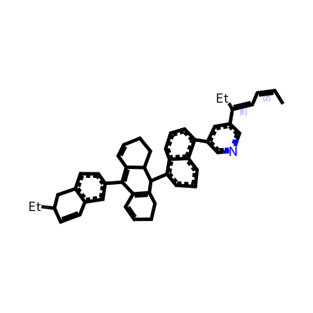 C/C=C\C=C(/CC)c1cncc(-c2cccc3c(C4C5=C(C=CCC5)C(c5ccc6c(c5)C=CC(CC)C6)=C5C=CCCC54)cccc23)c1